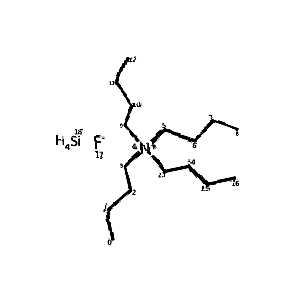 CCCC[N+](CCCC)(CCCC)CCCC.[F-].[SiH4]